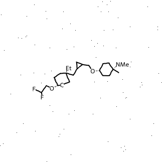 CC[C@]1(CC2CC2CO[C@H]2CC[C@@](C)(NC)CC2)CC[C@H](OCC(F)F)CC1